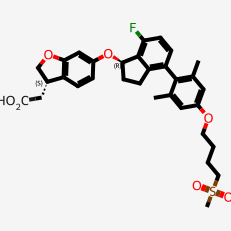 Cc1cc(OCCCCS(C)(=O)=O)cc(C)c1-c1ccc(F)c2c1CC[C@H]2Oc1ccc2c(c1)OC[C@H]2CC(=O)O